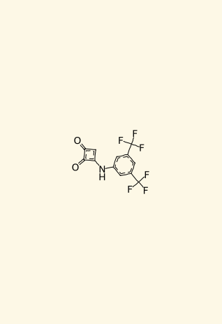 O=c1cc(Nc2cc(C(F)(F)F)cc(C(F)(F)F)c2)c1=O